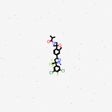 CC(C)C(=O)N1CC2(C1)OCc1cc(C3=NN(C)C(c4cc(Cl)c(F)c(Cl)c4)(C(F)(F)F)C3)ccc12